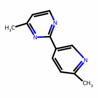 Cc1ccc(-c2nccc(C)n2)cn1